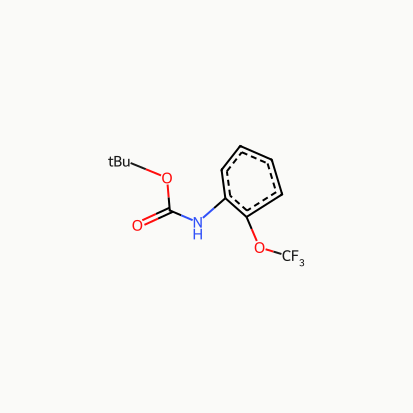 CC(C)(C)OC(=O)Nc1ccccc1OC(F)(F)F